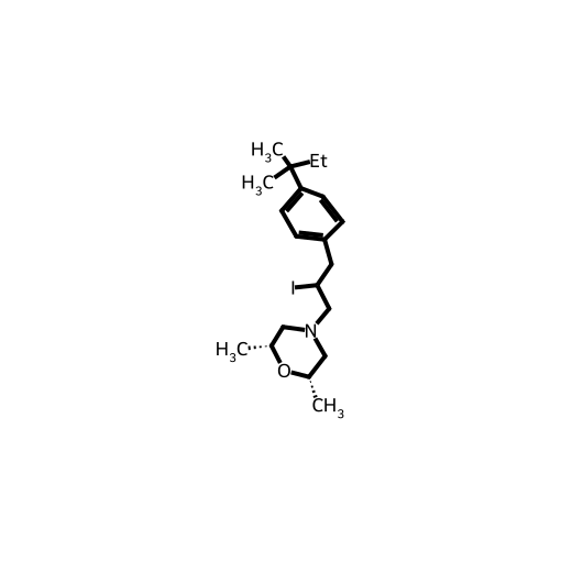 CCC(C)(C)c1ccc(CC(I)CN2C[C@@H](C)O[C@@H](C)C2)cc1